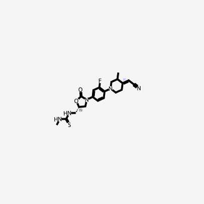 CNC(=S)NC[C@H]1CN(c2ccc(N3CC/C(=C\C#N)C(C)C3)c(F)c2)C(=O)O1